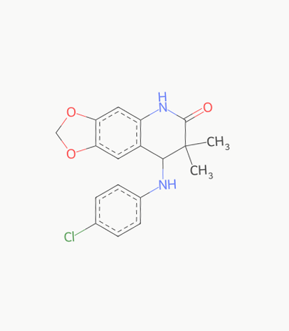 CC1(C)C(=O)Nc2cc3c(cc2C1Nc1ccc(Cl)cc1)OCO3